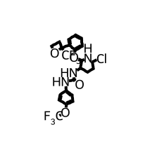 O=C(Nc1ccc(OC(F)(F)F)cc1)NC1CCC(Cl)NC1Oc1ccccc1C1(C(F)(F)F)CCO1